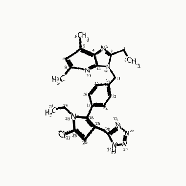 CCc1nc2c(C)cc(C)nc2n1Cc1ccc(-c2c(-c3nnn[nH]3)cc(Cl)n2CC)cc1